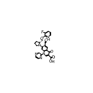 C#Cc1cc2c(=O)c(C(=O)O)cn(-c3cnccn3)c2cc1N1CCC[C@@H]1COc1ncccc1F